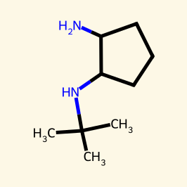 CC(C)(C)NC1CCCC1N